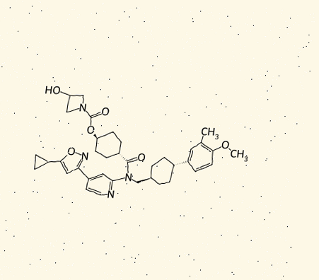 COc1ccc([C@H]2CC[C@H](CN(c3cc(-c4cc(C5CC5)on4)ccn3)C(=O)[C@H]3CC[C@H](OC(=O)N4CC(O)C4)CC3)CC2)cc1C